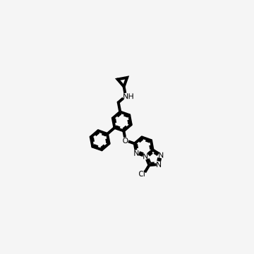 Clc1nnc2ccc(Oc3ccc(CNC4CC4)cc3-c3ccccc3)nn12